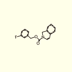 O=C(OCc1cccc(F)c1)N1C=Cc2ccccc2C1